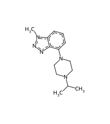 CC(C)N1CCN(c2cccc3c2nnn3C)CC1